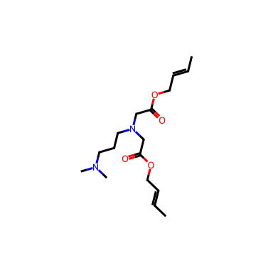 CC=CCOC(=O)CN(CCCN(C)C)CC(=O)OCC=CC